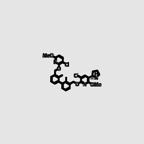 COc1ccc(Cl)c(OCc2cccc(-c3cccc(COc4nc(OC)c([C@H]5CCCN5)cc4Cl)c3C)c2C)n1